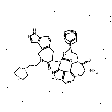 N[C@@H]1Cc2ccc3[nH]nc(N(C(=O)OCc4ccccc4)[C@@H]4Cc5ccc6[nH]ncc6c5CN(CCN5CCOCC5)C4=O)c3c2CN(CCN2CCOCC2)C1=O